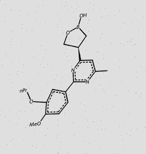 CCCOc1cc(-c2nc(C)cc([C@H]3COB(O)C3)n2)ccc1OC